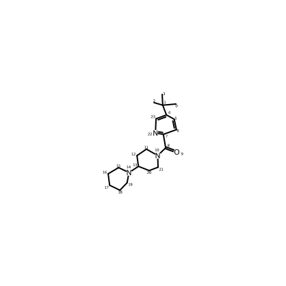 CC(C)(C)c1ccc(C(=O)N2CCC(N3CCCCC3)CC2)nc1